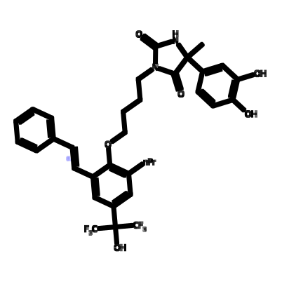 CCCc1cc(C(O)(C(F)(F)F)C(F)(F)F)cc(/C=C/c2ccccc2)c1OCCCCN1C(=O)NC(C)(c2ccc(O)c(O)c2)C1=O